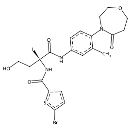 Cc1cc(NC(=O)[C@@](I)(CCO)NC(=O)c2ccc(Br)s2)ccc1N1CCOCCC1=O